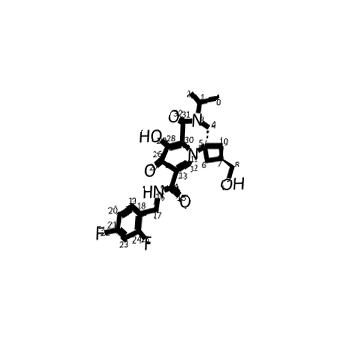 CC(C)N1C[C@]2(C[C@H](CO)C2)n2cc(C(=O)NCc3ccc(F)cc3F)c(=O)c(O)c2C1=O